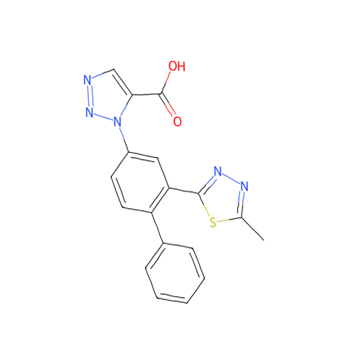 Cc1nnc(-c2cc(-n3nncc3C(=O)O)ccc2-c2ccccc2)s1